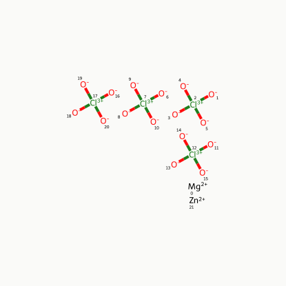 [Mg+2].[O-][Cl+3]([O-])([O-])[O-].[O-][Cl+3]([O-])([O-])[O-].[O-][Cl+3]([O-])([O-])[O-].[O-][Cl+3]([O-])([O-])[O-].[Zn+2]